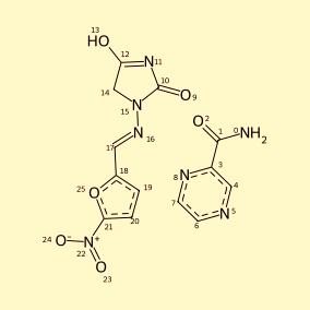 NC(=O)c1cnccn1.O=C1N=C(O)CN1/N=C/c1ccc([N+](=O)[O-])o1